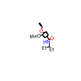 C#CCOc1ccc(C(=O)NCC(CC)CC)cc1OC